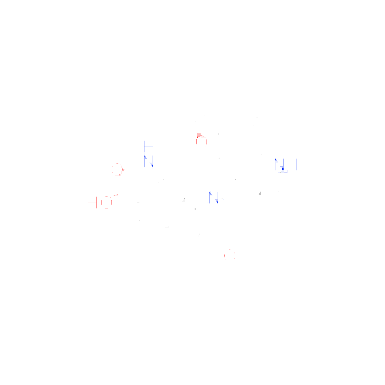 CNc1cc(C2CC(OC)CCN2Cc2c(OC)cc(C)c3[nH]ccc23)ccc1C(=O)O